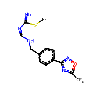 CCSC(=N)/N=C\NCc1ccc(-c2noc(C(F)(F)F)n2)cc1